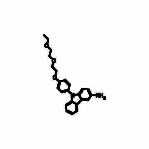 CCOCCOCCOc1ccc(-n2c3ccccc3c3cc(N)ccc32)cc1